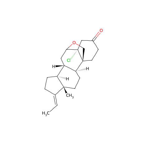 CC=C1CC[C@H]2[C@@H]3CC4OC[C@@]5(CCC(=O)C[C@]45Cl)[C@H]3CC[C@]12C